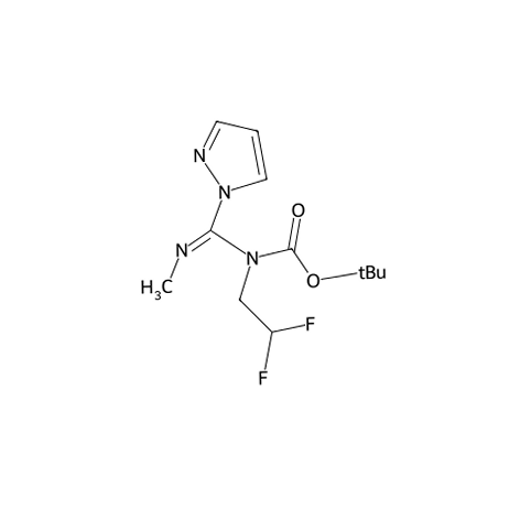 C/N=C(\N(CC(F)F)C(=O)OC(C)(C)C)n1cccn1